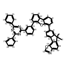 CC1(C)c2cc(-c3cccc4c3oc3c(-c5cccc(-c6nc(-c7ccccc7)nc(-c7ccccc7)n6)c5)cccc34)ccc2-c2c1ccc1ncoc21